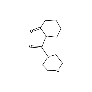 O=C1CCCCN1C(=O)N1CCOCC1